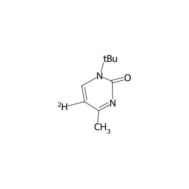 [2H]c1cn(C(C)(C)C)c(=O)nc1C